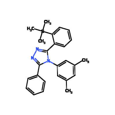 Cc1cc(C)cc(-n2c(-c3ccccc3)nnc2-c2ccccc2[Si](C)(C)C)c1